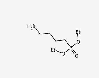 BCCCCP(=O)(OCC)OCC